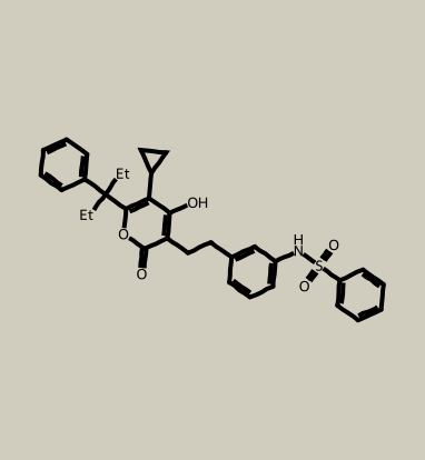 CCC(CC)(c1ccccc1)c1oc(=O)c(CCc2cccc(NS(=O)(=O)c3ccccc3)c2)c(O)c1C1CC1